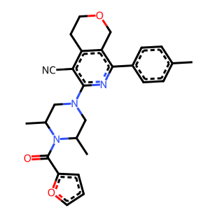 Cc1ccc(-c2nc(N3CC(C)N(C(=O)c4ccco4)C(C)C3)c(C#N)c3c2COCC3)cc1